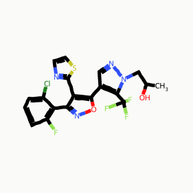 CC(O)Cn1ncc(-c2onc(-c3c(F)cccc3Cl)c2-c2nccs2)c1C(F)(F)F